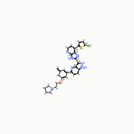 C=C1C=C(c2ccc3[nH]nc(-c4nc5c(-c6ccc(Cl)s6)ccnc5[nH]4)c3n2)C=C(OCCN2CCCC2)C1